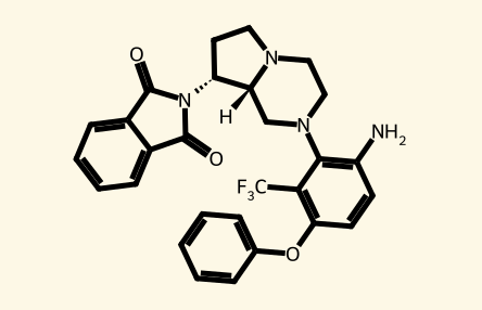 Nc1ccc(Oc2ccccc2)c(C(F)(F)F)c1N1CCN2CC[C@@H](N3C(=O)c4ccccc4C3=O)[C@H]2C1